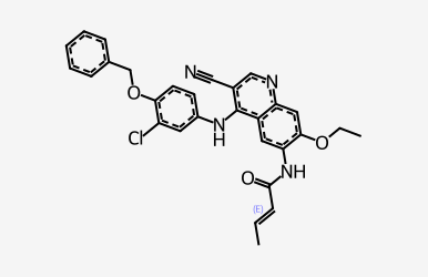 C/C=C/C(=O)Nc1cc2c(Nc3ccc(OCc4ccccc4)c(Cl)c3)c(C#N)cnc2cc1OCC